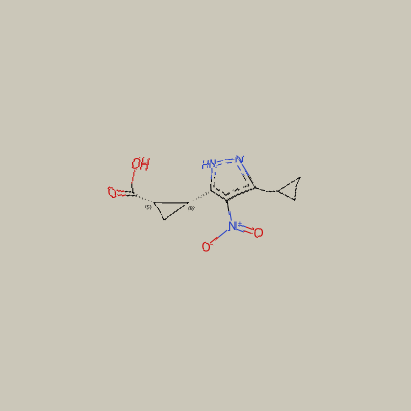 O=C(O)[C@H]1C[C@H]1c1[nH]nc(C2CC2)c1[N+](=O)[O-]